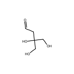 O=CCC(O)(CO)CO